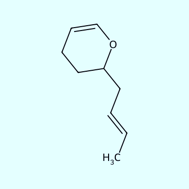 CC=CCC1CCC=CO1